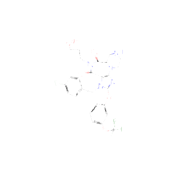 O=C1c2c(nc(Oc3cccc(OC(F)(F)F)c3)n2Cc2ccc(F)cc2)N2CCNCC2C(=O)N1CCCO